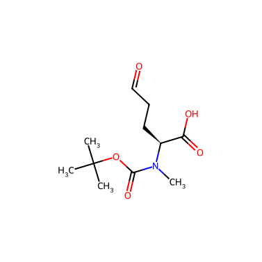 CN(C(=O)OC(C)(C)C)[C@@H](CCC=O)C(=O)O